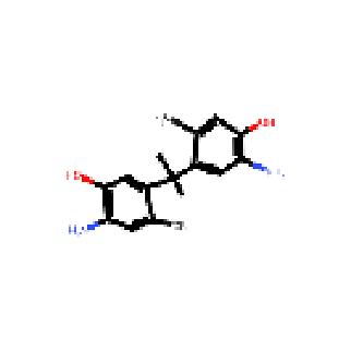 CC(C)(c1cc(N)c(O)cc1C(F)(F)F)c1cc(O)c(N)cc1C(F)(F)F